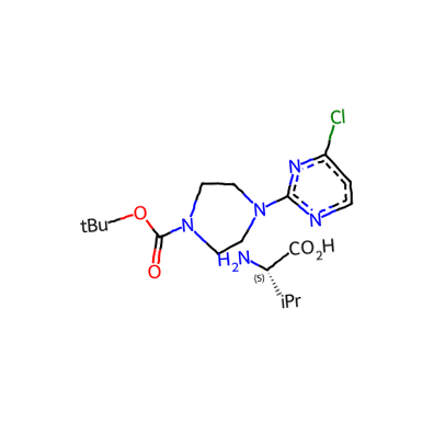 CC(C)(C)OC(=O)N1CCN(c2nccc(Cl)n2)CC1.CC(C)[C@H](N)C(=O)O